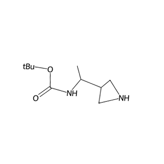 CC(NC(=O)OC(C)(C)C)C1CNC1